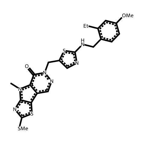 CCc1cc(OC)ccc1CNc1ncc(Cn2ncc3c4sc(SC)nc4n(C)c3c2=O)s1